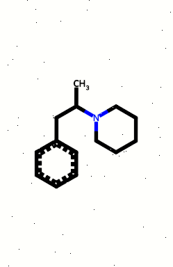 CC([CH]c1ccccc1)N1CCCCC1